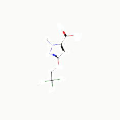 Cn1nc(OCC(F)(F)F)cc1C(=O)O